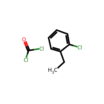 CCc1ccccc1Cl.O=C(Cl)Cl